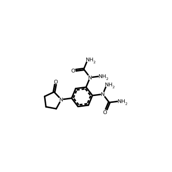 NC(=O)N(N)c1ccc(N2CCCC2=O)cc1N(N)C(N)=O